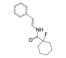 O=C(NC=Cc1ccccc1)C1(F)CCCCC1